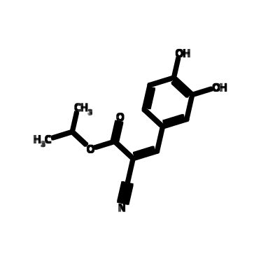 CC(C)OC(=O)C(C#N)=Cc1ccc(O)c(O)c1